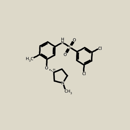 Cc1ccc(NS(=O)(=O)c2cc(Cl)cc(Cl)c2)cc1O[C@@H]1CCN(C)C1